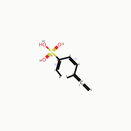 C=C=C(C)/C=C\C(=C/C)S(=O)(=O)O